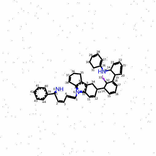 N=C(/C=C\C=C\n1c2c(c3c1C=CC(C1C=CC=C(C4C=CC=CC4NC4=CC=CCC4)C1I)C3)CCC=C2)c1ccccc1